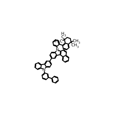 CC1(C)CCC(C)(C)c2c(-c3ccccc3-n3c4ccc(-c5ccc6c(c5)c5ccccc5n6-c5cccc(-c6ccccc6)c5)cc4c4c5ccccc5ccc43)cccc21